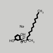 CCCCCCCCCCCCCC(C)OS(=O)(=O)c1cc(O)ccc1O.[Na]